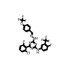 Fc1ccc(Nc2nc(NN=Cc3ccc(OC(F)(F)F)cc3)nc(-c3c(F)cccc3Cl)n2)cc1C(F)(F)F